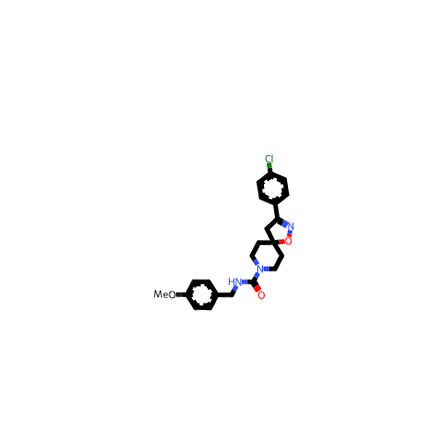 COc1ccc(CNC(=O)N2CCC3(CC2)CC(c2ccc(Cl)cc2)=NO3)cc1